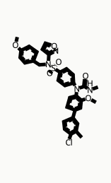 CNC(=O)N(c1ccc(S(=O)(=O)N(Cc2ccc(OC)cc2)c2ccon2)cc1)c1ccc(-c2ccc(Cl)c(C)c2)cc1OC